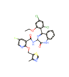 CCOc1cc(Cl)cc(Cl)c1C1=NC(NC(=O)c2cc(F)cnc2OCc2scnc2C)C(=O)Nc2ccccc21